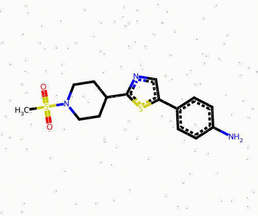 CS(=O)(=O)N1CCC(c2ncc(-c3ccc(N)cc3)s2)CC1